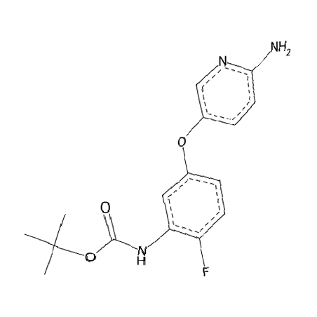 CC(C)(C)OC(=O)Nc1cc(Oc2ccc(N)nc2)ccc1F